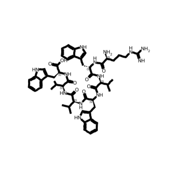 CC(C)[C@H](NC(=O)[C@H](Cc1c[nH]c2ccccc12)NC(=O)[C@@H](N)CCCNC(=N)N)C(=O)N[C@@H](Cc1c[nH]c2ccccc12)C(=O)N[C@H](C(=O)N[C@H](C(=O)N[C@@H](Cc1c[nH]c2ccccc12)C(=O)O)C(C)C)C(C)C